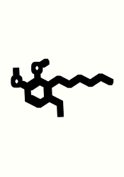 CCCCCCc1c(CC)ccc(OC)c1OC